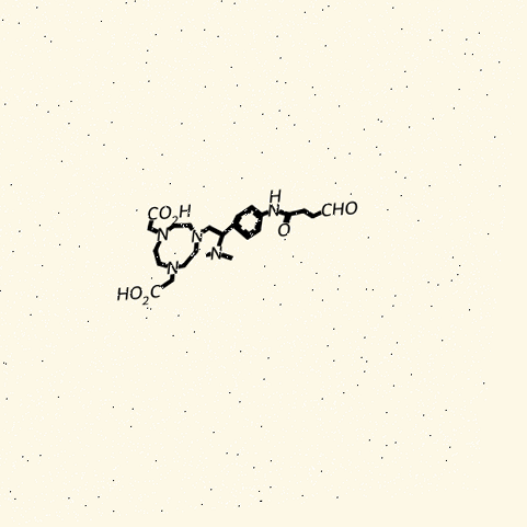 CN(C)C(CN1CCN(CC(=O)O)CCN(CC(=O)O)CC1)c1ccc(NC(=O)CCC=O)cc1